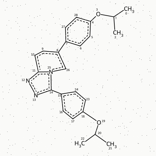 CC(C)Oc1ccc(-c2ccc3nnc(-c4ccc(OC(C)C)cc4)n3c2)cc1